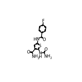 NC(=O)Nc1sc(NC(=O)c2ccc(F)cc2)cc1C(N)=O